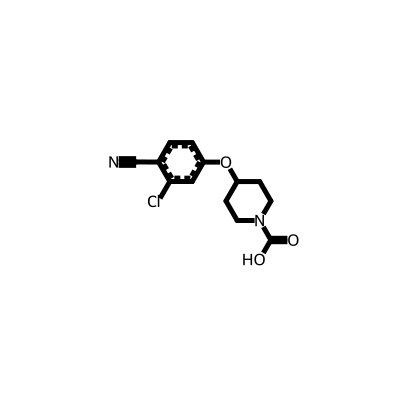 N#Cc1ccc(OC2CCN(C(=O)O)CC2)cc1Cl